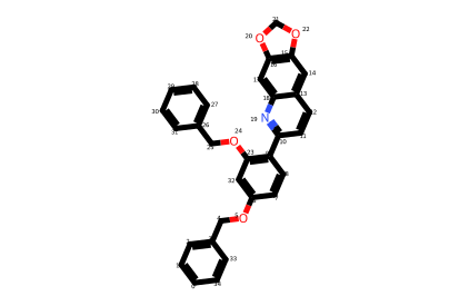 c1ccc(COc2ccc(-c3ccc4cc5c(cc4n3)OCO5)c(OCc3ccccc3)c2)cc1